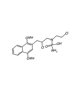 COc1cc(CC(Cl)CN(CCCl)P(N)(=O)O)c(OC)c2ccccc12